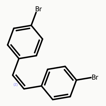 Brc1ccc(/C=C\c2ccc(Br)cc2)cc1